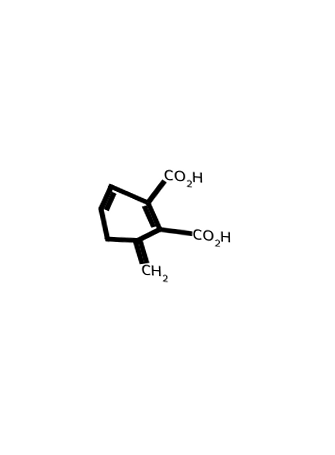 C=C1CC=CC(C(=O)O)=C1C(=O)O